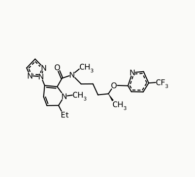 CCC1C=CC(n2nccn2)=C(C(=O)N(C)CCC[C@H](C)Oc2ccc(C(F)(F)F)cn2)N1C